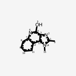 Cc1nc2c(O)nc3ccccc3c2n1C